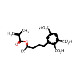 C=C(C)C(=O)OC(CC)CCCc1cc(C(=O)O)cc(C(=O)O)c1C(=O)O